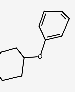 c1ccc(OC2CCCCC2)cc1